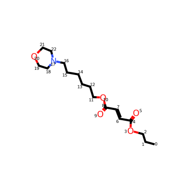 CCCOC(=O)C=CC(=O)OCCCCCCN1CCOCC1